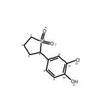 O=S1(=O)CCCC1c1ccc(O)c(Cl)c1